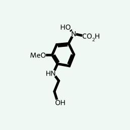 COc1cc(N(O)C(=O)O)ccc1NCCO